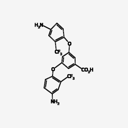 Nc1ccc(Oc2cc(Oc3ccc(N)cc3C(F)(F)F)cc(C(=O)O)c2)c(C(F)(F)F)c1